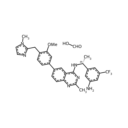 COc1cc(-c2ccc3nc(C)nc(N[C@H](C)c4cc(N)cc(C(F)(F)F)c4)c3c2)ccc1Cc1nccn1C.O=CO